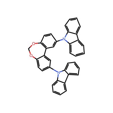 c1ccc2c(c1)c1ccccc1n2-c1ccc2c(c1)-c1cc(-n3c4ccccc4c4ccccc43)ccc1OCO2